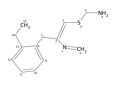 C=N/C(=C\SCN)Cc1ccccc1CC